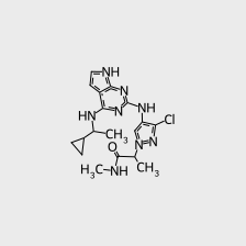 CNC(=O)C(C)n1cc(Nc2nc(NC(C)C3CC3)c3cc[nH]c3n2)c(Cl)n1